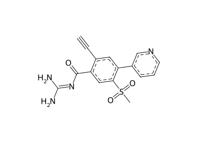 C#Cc1cc(-c2cccnc2)c(S(C)(=O)=O)cc1C(=O)N=C(N)N